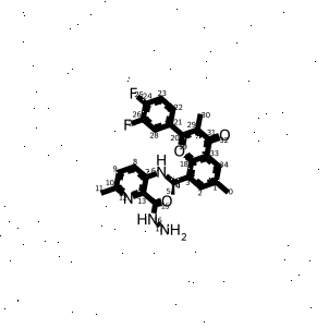 Cc1cc([C@@H](C)Nc2ccc(C)nc2C(=O)NN)c2oc(-c3ccc(F)c(F)c3)c(C)c(=O)c2c1